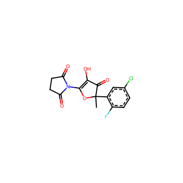 CC1(c2cc(Cl)ccc2F)OC(N2C(=O)CCC2=O)=C(O)C1=O